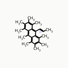 C/C=C/c1c2c(C)c(C)c(C)c(C)c2c(C)c2c(C)c(C)c(C)c(C)c12